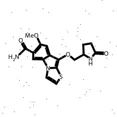 COc1cc2c(OCC3CCC(=O)N3)c3sccn3c2cc1C(N)=O